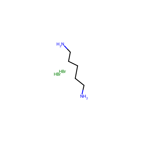 Br.Br.NCCCCCN